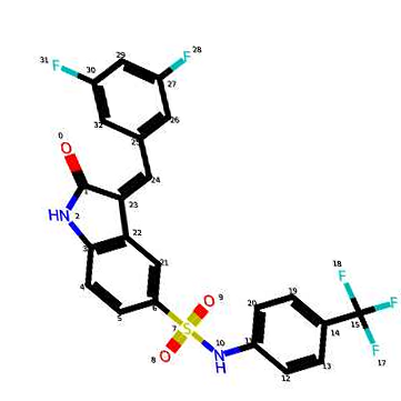 O=C1Nc2ccc(S(=O)(=O)Nc3ccc(C(F)(F)F)cc3)cc2C1=Cc1cc(F)cc(F)c1